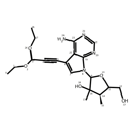 CCOC(C#Cc1cn(C2OC(CO)[C@@H](C)C2(C)O)c2ncnc(N)c12)OCC